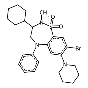 CN1C(C2CCCCC2)CN(c2ccccc2)c2cc(N3CCCCC3)c(Br)cc2S1(=O)=O